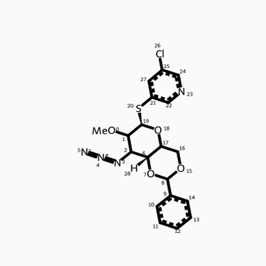 COC1C(N=[N+]=[N-])[C@H]2OC(c3ccccc3)OCC2O[C@@H]1Sc1cncc(Cl)c1